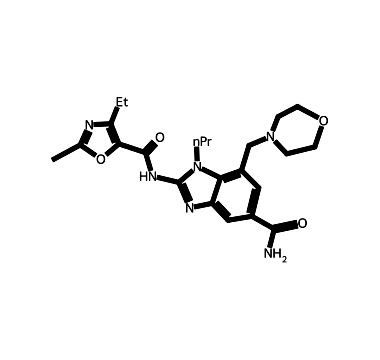 CCCn1c(NC(=O)c2oc(C)nc2CC)nc2cc(C(N)=O)cc(CN3CCOCC3)c21